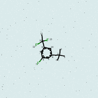 CC(C)(C)c1cc(F)cc(C(C)(F)F)c1